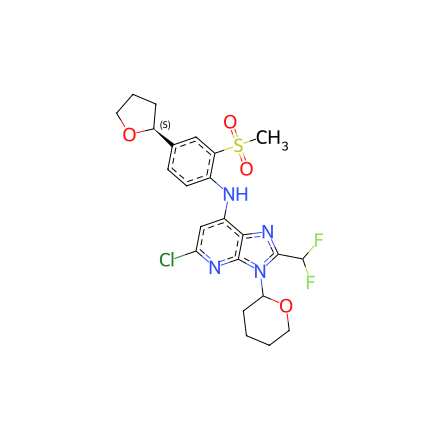 CS(=O)(=O)c1cc([C@@H]2CCCO2)ccc1Nc1cc(Cl)nc2c1nc(C(F)F)n2C1CCCCO1